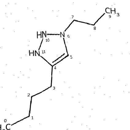 CCCCC1=CN(CCC)NN1